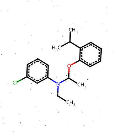 CCN(c1cccc(Cl)c1)C(C)Oc1ccccc1C(C)C